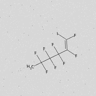 CC(F)(F)C(F)(F)C(F)(F)C(F)=C(F)I